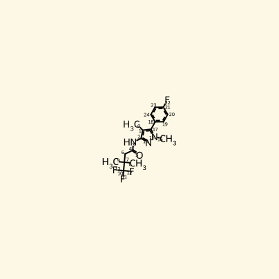 Cc1c(NC(=O)CC(C)(C)C(F)(F)F)nn(C)c1-c1ccc(F)cc1